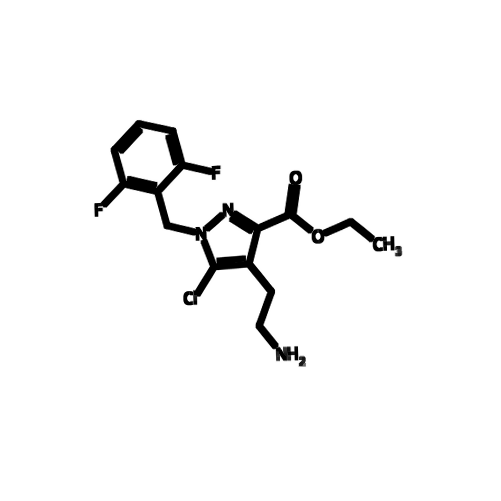 CCOC(=O)c1nn(Cc2c(F)cccc2F)c(Cl)c1CCN